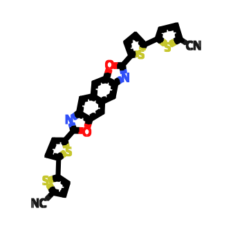 N#Cc1ccc(-c2ccc(-c3nc4cc5cc6oc(-c7ccc(-c8ccc(C#N)s8)s7)nc6cc5cc4o3)s2)s1